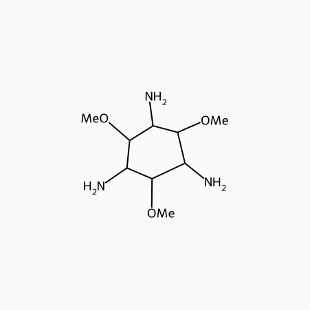 COC1C(N)C(OC)C(N)C(OC)C1N